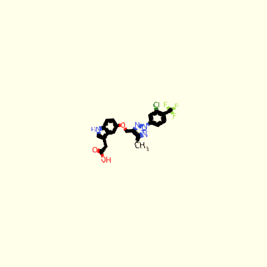 Cc1nn(-c2ccc(C(F)(F)F)c(Cl)c2)nc1COc1ccc2[nH]cc(CC(=O)O)c2c1